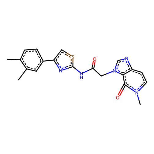 Cc1ccc(-c2csc(NC(=O)Cn3cnc4ccn(C)c(=O)c43)n2)cc1C